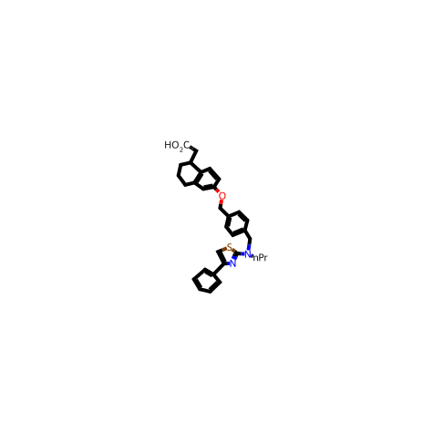 CCCN(Cc1ccc(COc2ccc3c(c2)CCCC3CC(=O)O)cc1)c1nc(-c2ccccc2)cs1